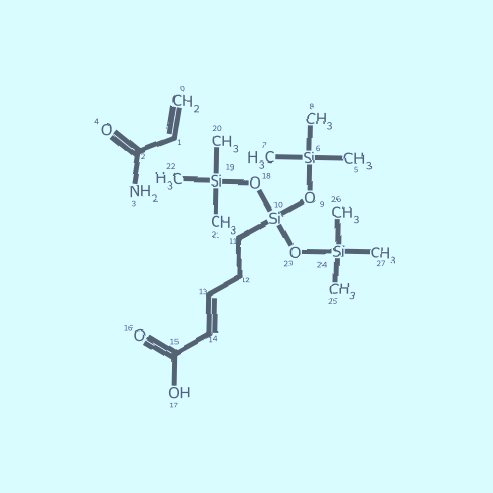 C=CC(N)=O.C[Si](C)(C)O[Si](CCC=CC(=O)O)(O[Si](C)(C)C)O[Si](C)(C)C